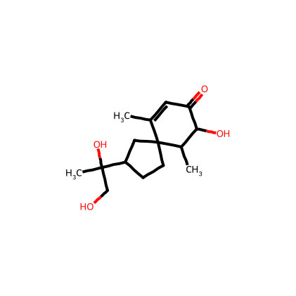 CC1=CC(=O)C(O)C(C)C12CCC(C(C)(O)CO)C2